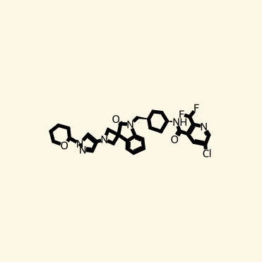 O=C(N[C@H]1CC[C@H](CN2C(=O)C3(CN(c4cnn(C5CCCCO5)c4)C3)c3ccccc32)CC1)c1cc(Cl)cnc1C(F)F